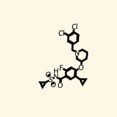 O=C(NS(=O)(=O)C1CC1)c1cc(C2CC2)c(OC2CCCN(Cc3ccc(Cl)c(Cl)c3)C2)cc1F